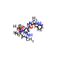 C[C@H]1C[C@@H]1[C@@H](C)Nc1cc(-c2nnc([C@](C)(N)Cc3ccccc3)o2)cc(N(C)S(C)(=O)=O)n1